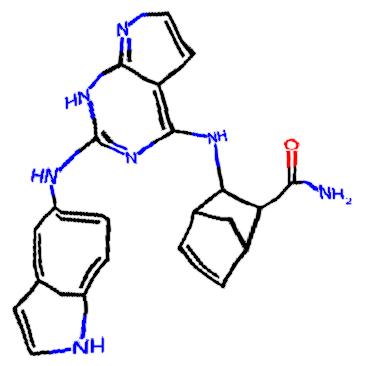 NC(=O)C1C2C=CC(C2)C1Nc1nc(Nc2ccc3[nH]ccc3c2)[nH]c2nccc1-2